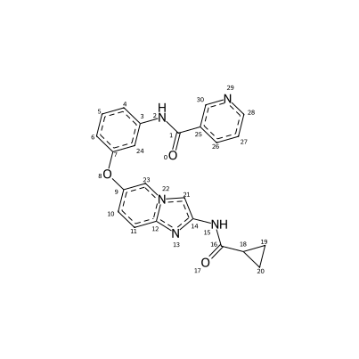 O=C(Nc1cccc(Oc2ccc3nc(NC(=O)C4CC4)cn3c2)c1)c1cccnc1